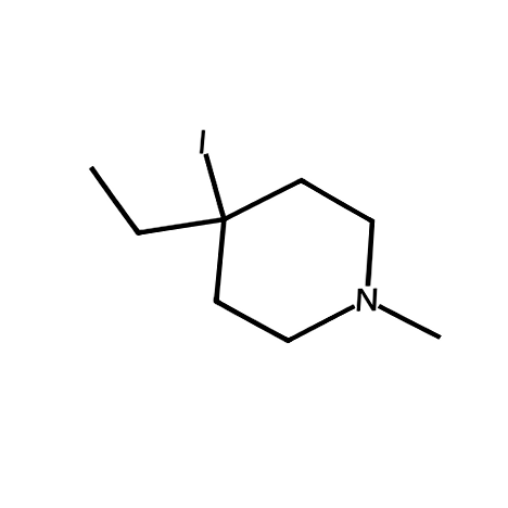 CCC1(I)CCN(C)CC1